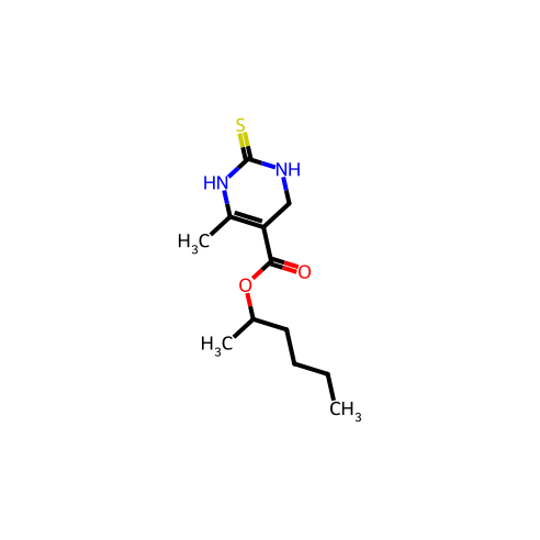 CCCCC(C)OC(=O)C1=C(C)NC(=S)NC1